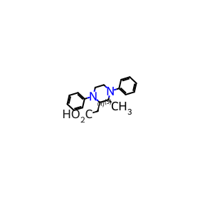 C[C@H]1[C@@H](CC(=O)O)N(c2ccccc2)CCN1c1ccccc1